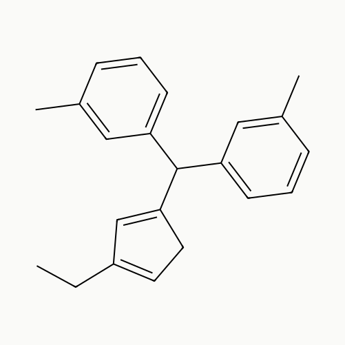 CCC1=CCC(C(c2cccc(C)c2)c2cccc(C)c2)=C1